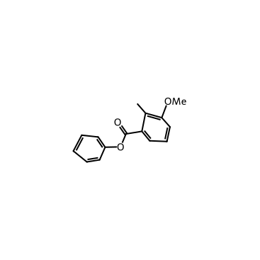 COc1cccc(C(=O)Oc2ccccc2)c1C